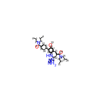 CCCN(CCC)C(=O)C1=CCC(c2cc3c(cc2OC)C=C(C(=O)N(CCC)CCC)CC(N=NN)N3)CC1